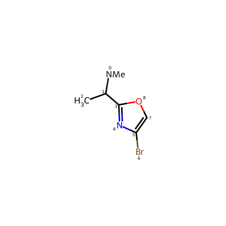 CNC(C)c1nc(Br)co1